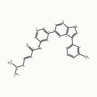 Cc1cccc(-c2c[nH]c3ncc(-c4cncc(NC(=O)/C=C/CN(C)C)c4)cc23)c1